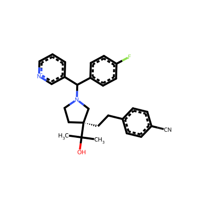 CC(C)(O)[C@@]1(CCc2ccc(C#N)cc2)CCN(C(c2ccc(F)cc2)c2cccnc2)C1